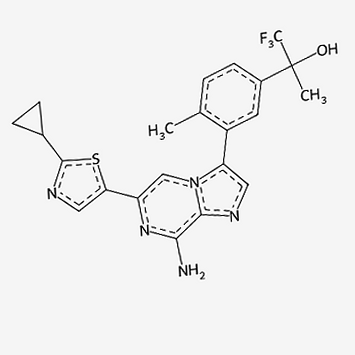 Cc1ccc(C(C)(O)C(F)(F)F)cc1-c1cnc2c(N)nc(-c3cnc(C4CC4)s3)cn12